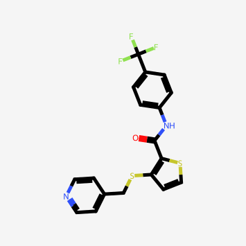 O=C(Nc1ccc(C(F)(F)F)cc1)c1sccc1SCc1ccncc1